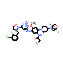 C=CC(=O)Nc1cc(N/C(=C/C(=N)N2OCC[C@@H]2Cc2cccc(Cl)c2F)NN)c(OC)cc1N1CCC(N2C[C@H]3C[C@@H]2CO3)CC1